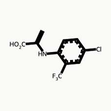 C=C(Nc1ccc(Cl)cc1C(F)(F)F)C(=O)O